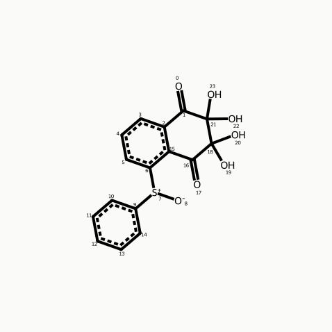 O=C1c2cccc([S+]([O-])c3ccccc3)c2C(=O)C(O)(O)C1(O)O